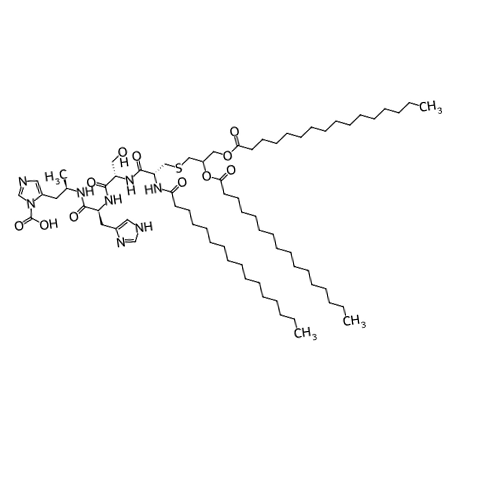 CCCCCCCCCCCCCCCC(=O)N[C@@H](CSCC(COC(=O)CCCCCCCCCCCCCCC)OC(=O)CCCCCCCCCCCCCCC)C(=O)N[C@@H](CO)C(=O)N[C@@H](Cc1c[nH]cn1)C(=O)N[C@H](C)Cc1cncn1C(=O)O